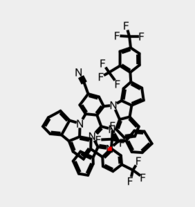 N#Cc1cc(-n2c3ccccc3c3ccc(-c4ccc(C(F)(F)F)cc4C(F)(F)F)cc32)c(-c2nc(-c3ccccc3)nc(-c3ccccc3)n2)c(-n2c3ccccc3c3ccc(-c4ccc(C(F)(F)F)cc4C(F)(F)F)cc32)c1